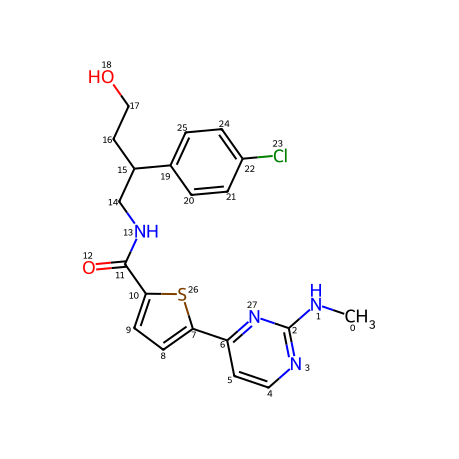 CNc1nccc(-c2ccc(C(=O)NCC(CCO)c3ccc(Cl)cc3)s2)n1